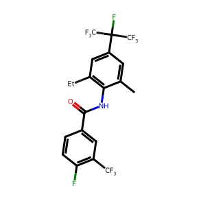 CCc1cc(C(F)(C(F)(F)F)C(F)(F)F)cc(C)c1NC(=O)c1ccc(F)c(C(F)(F)F)c1